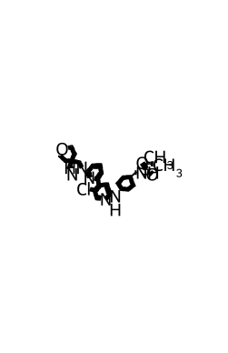 CC(C)S(=O)(=O)NC[C@H]1CC[C@H](Nc2cc(-c3cccc(NCC4(C#N)CCOCC4)n3)c(Cl)cn2)CC1